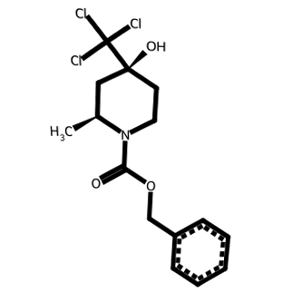 C[C@H]1C[C@](O)(C(Cl)(Cl)Cl)CCN1C(=O)OCc1ccccc1